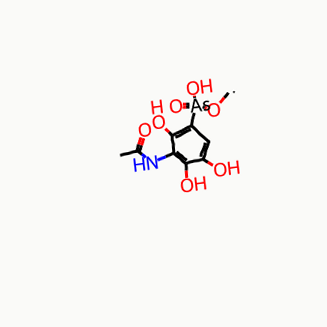 [CH2]O[As](=O)(O)c1cc(O)c(O)c(NC(C)=O)c1O